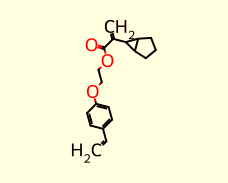 C=Cc1ccc(OCCOC(=O)C(=C)C2C3CCCC32)cc1